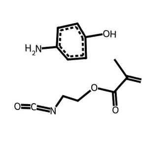 C=C(C)C(=O)OCCN=C=O.Nc1ccc(O)cc1